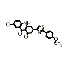 O=C1CC(c2csc(-c3ccc(OC(F)(F)F)cc3)n2)Cc2[nH]c3ccc(Cl)cc3c(=O)c21